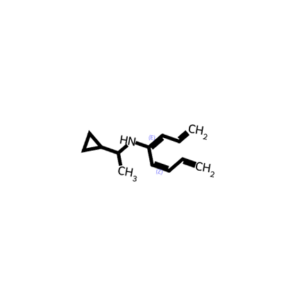 C=C/C=C\C(=C/C=C)NC(C)C1CC1